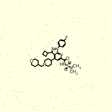 CN(C)S(=O)(=O)NC(=O)c1cc(C2CCN(CC3CCOCC3)CC2)c2c(C3CCC3)nn(-c3ccc(F)cc3)c2n1